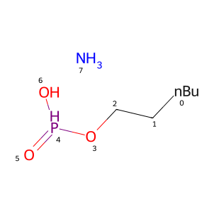 CCCCCCO[PH](=O)O.N